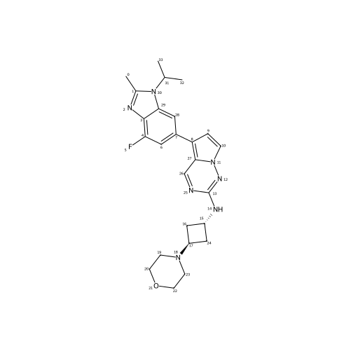 Cc1nc2c(F)cc(-c3ccn4nc(N[C@H]5C[C@H](N6CCOCC6)C5)ncc34)cc2n1C(C)C